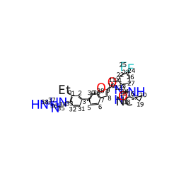 CCc1cc(-c2ccc3cc(C(=O)NC4(C(=O)NC5(C#N)CC5)CCC(F)(F)CC4)oc3c2)ccc1N/C=N\C=N